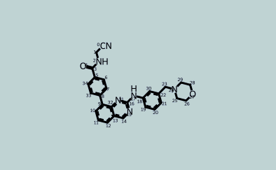 N#CCNC(=O)c1ccc(-c2cccc3cnc(Nc4cccc(CN5CCOCC5)c4)nc23)cc1